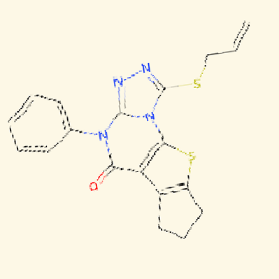 C=CCSc1nnc2n(-c3ccccc3)c(=O)c3c4c(sc3n12)CCC4